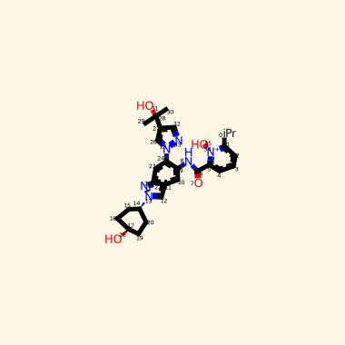 CC(C)c1cccc(C(=O)Nc2cc3cn([C@H]4CC[C@H](O)CC4)nc3cc2-n2cc(C(C)(C)O)cn2)[n+]1O